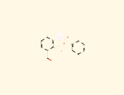 O=C(O)c1cccc(NS(=O)(=O)c2ccccc2)c1O